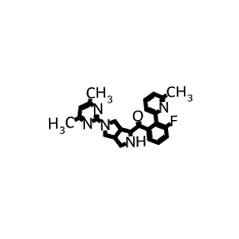 Cc1cccc(-c2c(F)cccc2C(=O)C2NCC3CN(c4nc(C)cc(C)n4)CC32)n1